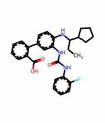 CCC(Nc1ccc(-c2ccccc2C(=O)O)cc1NC(=O)Nc1ccccc1F)C1CCCC1